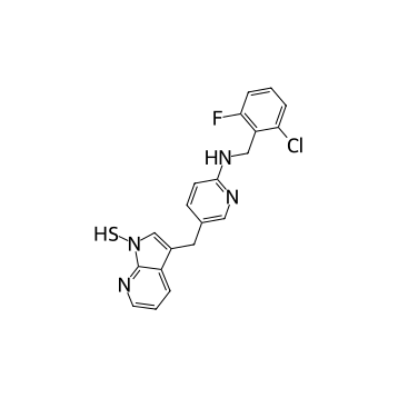 Fc1cccc(Cl)c1CNc1ccc(Cc2cn(S)c3ncccc23)cn1